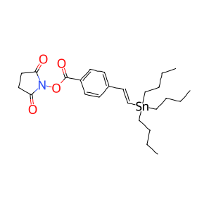 CCC[CH2][Sn]([CH]=Cc1ccc(C(=O)ON2C(=O)CCC2=O)cc1)([CH2]CCC)[CH2]CCC